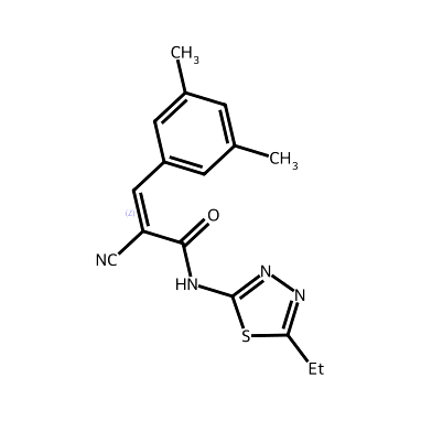 CCc1nnc(NC(=O)/C(C#N)=C\c2cc(C)cc(C)c2)s1